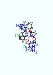 CN(N)/C(=C(\N)COc1ccc(Cl)c2c1[C@@H](CN1CCCC1=O)N(C(=O)[C@@H]1CCCC[C@]1(C)C1N=NNN1C)CC2)C(F)F